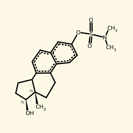 CN(C)S(=O)(=O)Oc1ccc2c3c(ccc2c1)C1CC[C@H](O)[C@@]1(C)CC3